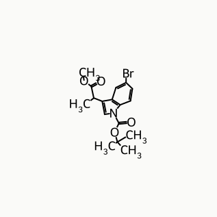 COC(=O)C(C)c1cn(C(=O)OC(C)(C)C)c2ccc(Br)cc12